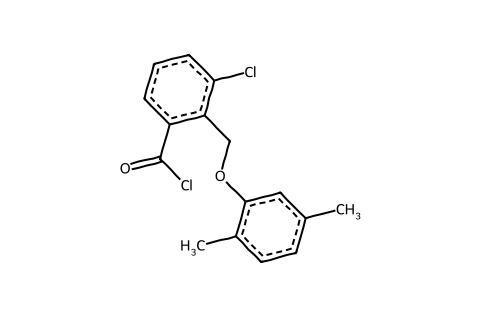 Cc1ccc(C)c(OCc2c(Cl)cccc2C(=O)Cl)c1